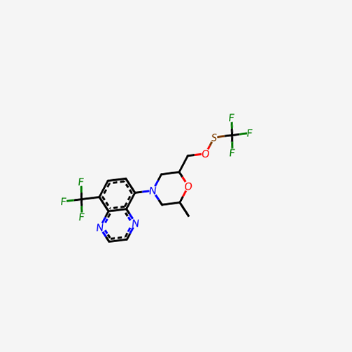 CC1CN(c2ccc(C(F)(F)F)c3nccnc23)CC(COSC(F)(F)F)O1